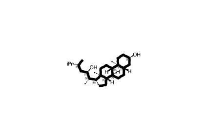 CC(C)[C@H](C)C[C@H](O)[C@@H](C)[C@H]1CC[C@H]2[C@@H]3CC[C@H]4C[C@@H](O)CC[C@]4(C)[C@H]3CC[C@]12C